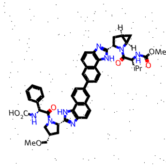 COC[C@H]1C[C@@H](c2nc3ccc4cc(-c5ccc6c(ccc7nc([C@@H]8C[C@H]9C[C@H]9N8C(=O)[C@@H](NC(=O)OC)C(C)C)[nH]c76)c5)ccc4c3[nH]2)N(C(=O)[C@H](NC(=O)O)c2ccccc2)C1